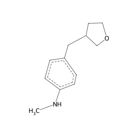 CNc1ccc(CC2CCOC2)cc1